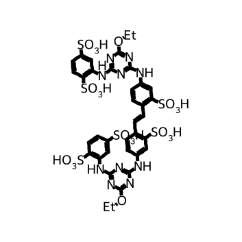 CCOc1nc(Nc2ccc(C=Cc3ccc(Nc4nc(Nc5cc(S(=O)(=O)O)ccc5S(=O)(=O)O)nc(OCC)n4)cc3S(=O)(=O)O)c(S(=O)(=O)O)c2)nc(Nc2cc(S(=O)(=O)O)ccc2S(=O)(=O)O)n1